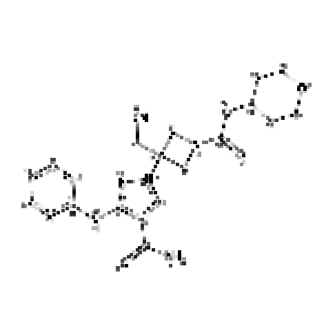 N#CCC1(n2cc(C(N)=O)c(Nc3ccccc3)n2)CN(C(=O)OC2CCOCC2)C1